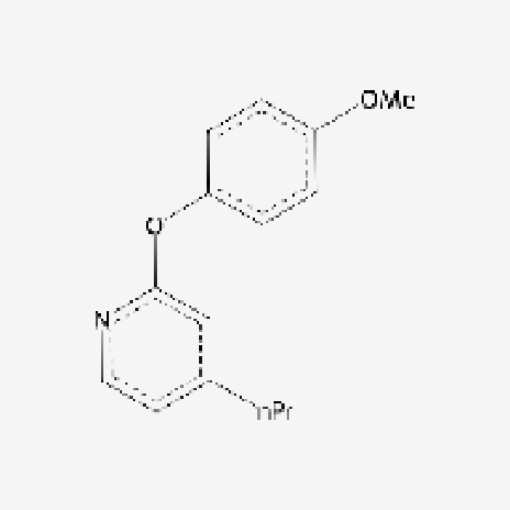 CCCc1ccnc(Oc2ccc(OC)cc2)c1